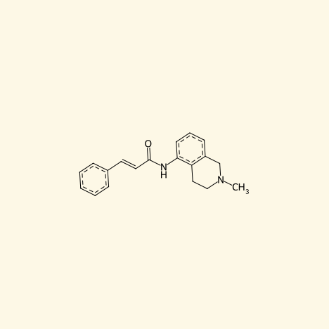 CN1CCc2c(cccc2NC(=O)/C=C/c2ccccc2)C1